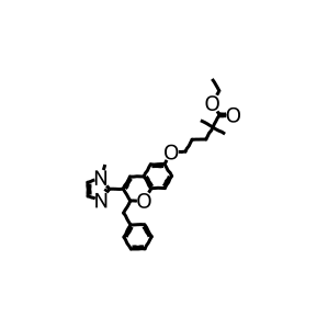 CCOC(=O)C(C)(C)CCCOc1ccc2c(c1)C=C(c1nccn1C)C(Cc1ccccc1)O2